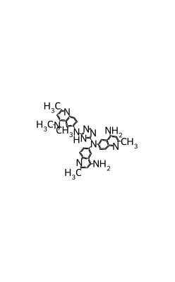 Cc1cc(N)c2cc(N(c3ccc4nc(C)cc(N)c4c3)c3ncnc(Nc4ccc5nc(C)cc(N(C)C)c5c4)n3)ccc2n1